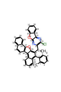 Cc1ccccc1-c1c([C@@H](C)c2nc3oc4ccccc4c3nc2Cl)c2oc3c4ccccc4ccc3c2c2ccccc12